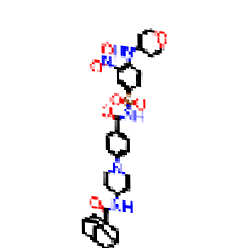 O=C(NS(=O)(=O)c1ccc(NC2CCOCC2)c([N+](=O)[O-])c1)c1ccc(N2CCC(NC(=O)C34CC5CC(CC(C5)C3)C4)CC2)cc1